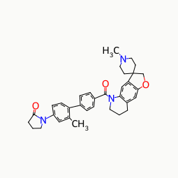 Cc1cc(N2CCCC2=O)ccc1-c1ccc(C(=O)N2CCCc3cc4c(cc32)C2(CCN(C)CC2)CO4)cc1